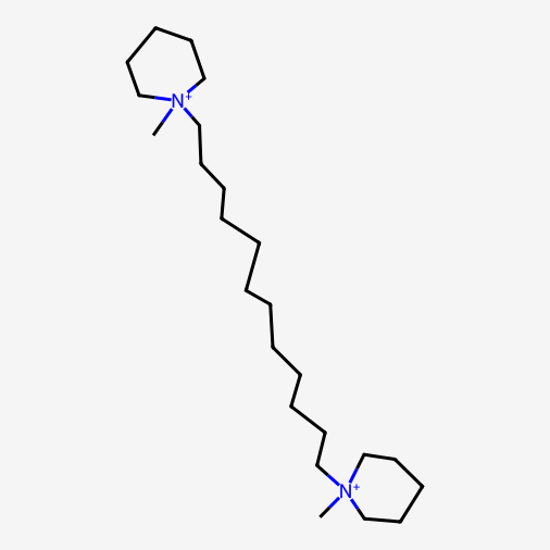 C[N+]1(CCCCCCCCCCCC[N+]2(C)CCCCC2)CCCCC1